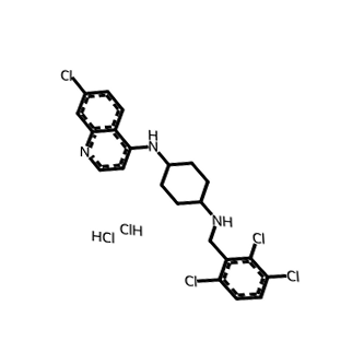 Cl.Cl.Clc1ccc2c(NC3CCC(NCc4c(Cl)ccc(Cl)c4Cl)CC3)ccnc2c1